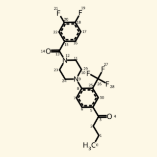 CCCC(=O)c1ccc(N2CCN(C(=O)c3ccc(F)c(F)c3)CC2)c(C(F)(F)F)c1